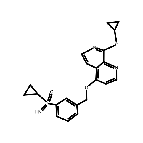 N=S(=O)(c1cccc(COc2ccnc3c(OC4CC4)nccc23)c1)C1CC1